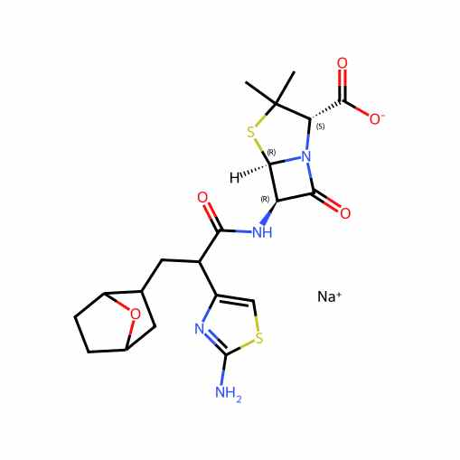 CC1(C)S[C@@H]2[C@H](NC(=O)C(CC3CC4CCC3O4)c3csc(N)n3)C(=O)N2[C@H]1C(=O)[O-].[Na+]